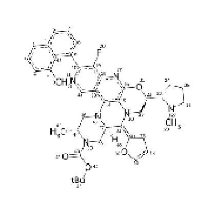 Cc1cccc2cccc(-c3ncc4c5c6c(nc4c3F)O[C@@H]([C@@H]3CCCN3C)CN6C(=C3CC=CO3)[C@H]3CN(C(=O)OC(C)(C)C)[C@H](C)CN53)c12